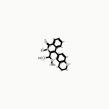 CCn1c(C(OC(C)(C)C)C(=O)O)c(-c2ccc3c(c2)CCCO3)c2ccccc2c1=O